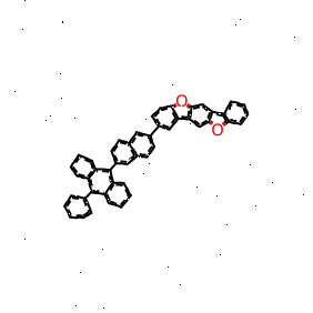 c1ccc(-c2c3ccccc3c(-c3ccc4cc(-c5ccc6oc7cc8c(cc7c6c5)oc5ccccc58)ccc4c3)c3ccccc23)cc1